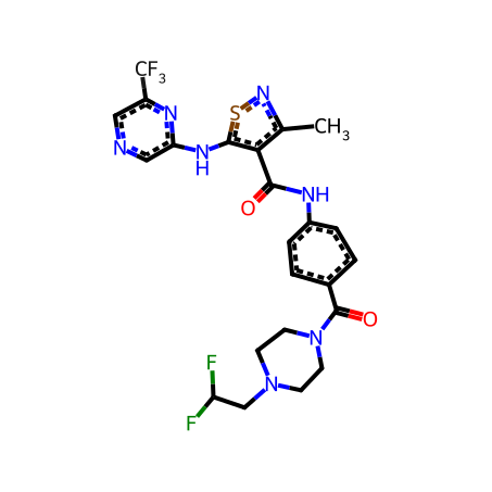 Cc1nsc(Nc2cncc(C(F)(F)F)n2)c1C(=O)Nc1ccc(C(=O)N2CCN(CC(F)F)CC2)cc1